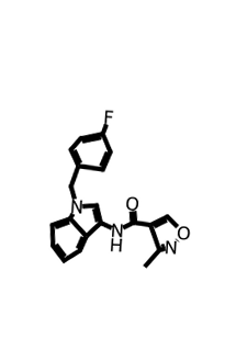 Cc1nocc1C(=O)Nc1cn(Cc2ccc(F)cc2)c2ccccc12